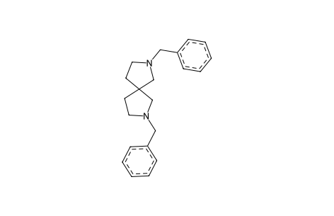 c1ccc(CN2CCC3(CCN(Cc4ccccc4)C3)C2)cc1